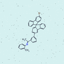 C/C(=N\c1ccccc1C)c1cccc(-c2ccc3c(c2)-c2ccccc2C32c3ccccc3-c3cc(Br)ccc32)c1